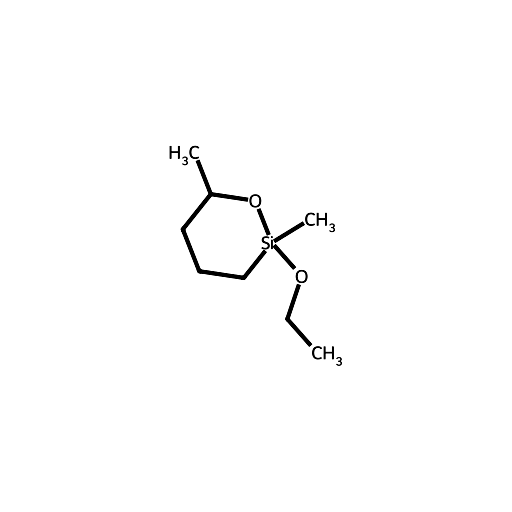 CCO[Si]1(C)CCCC(C)O1